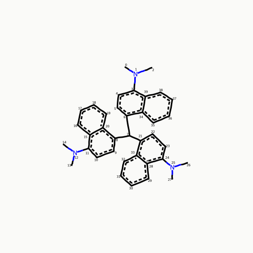 CN(C)c1ccc(C(c2ccc(N(C)C)c3ccccc23)c2ccc(N(C)C)c3ccccc23)c2ccccc12